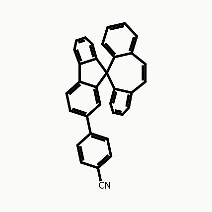 N#Cc1ccc(-c2ccc3c(c2)C2(c4ccccc4C=Cc4ccccc42)c2ccccc2-3)cc1